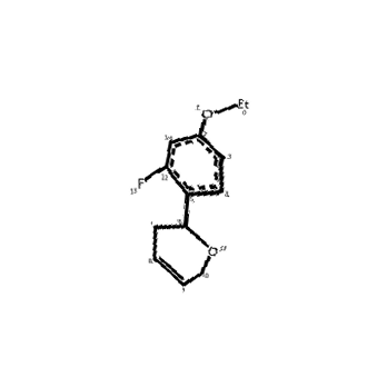 CCOc1ccc(C2CC=CCO2)c(F)c1